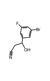 N#CCC(O)c1cc(F)cc(Br)c1